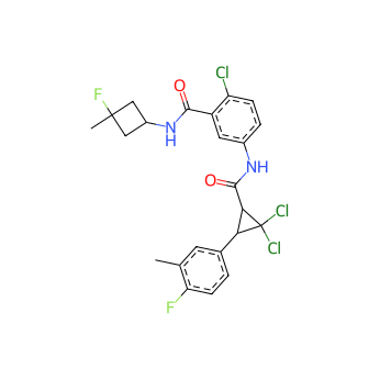 Cc1cc(C2C(C(=O)Nc3ccc(Cl)c(C(=O)NC4CC(C)(F)C4)c3)C2(Cl)Cl)ccc1F